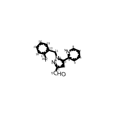 O=Cc1cc(-c2ccccn2)n(Cc2ccccc2F)n1